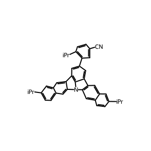 CC(C)c1ccc2cc3c(cc2c1)c1cc(-c2cc(C#N)ccc2C(C)C)cc2c4cc5cc(C(C)C)ccc5cc4n3c12